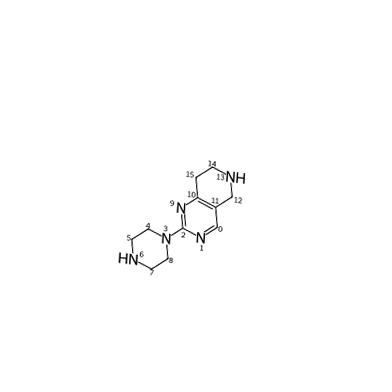 c1nc(N2CCNCC2)nc2c1CNCC2